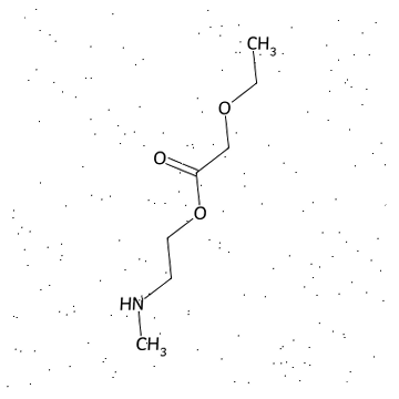 CCOCC(=O)OCCNC